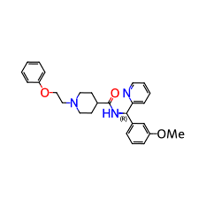 COc1cccc([C@@H](NC(=O)C2CCN(CCOc3ccccc3)CC2)c2ccccn2)c1